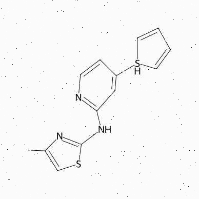 Cc1csc(Nc2cc([SH]3C=CC=C3)ccn2)n1